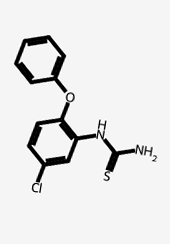 NC(=S)Nc1cc(Cl)ccc1Oc1ccccc1